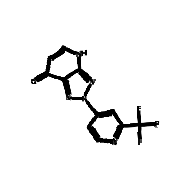 O=c1cc[nH]c2nn(-c3ccnc(C(F)(F)F)c3)nc12